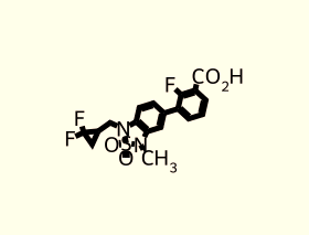 CN1c2cc(-c3cccc(C(=O)O)c3F)ccc2N(CC2CC2(F)F)S1(=O)=O